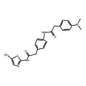 CC(C)c1cnc(NC(=O)Cc2ccc(NC(=O)Cc3ccc(N(C)C)cc3)cc2)s1